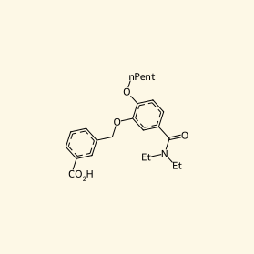 CCCCCOc1ccc(C(=O)N(CC)CC)cc1OCc1cccc(C(=O)O)c1